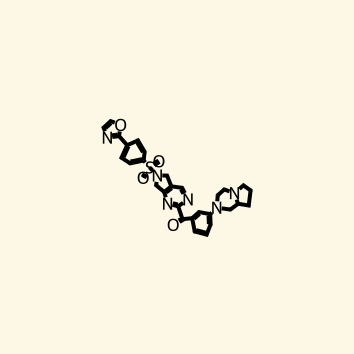 O=C(c1cccc(N2CCN3CCCC3C2)c1)c1ncc2c(n1)CN(S(=O)(=O)c1ccc(-c3ncco3)cc1)C2